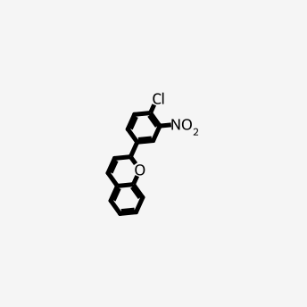 O=[N+]([O-])c1cc(C2C=Cc3ccccc3O2)ccc1Cl